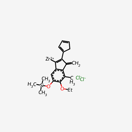 C=C1C(C2=CC=CC2)=[C]([Zr+2])c2cc(O[Si](C)(C)C)c(OCC)c(C)c21.[Cl-].[Cl-]